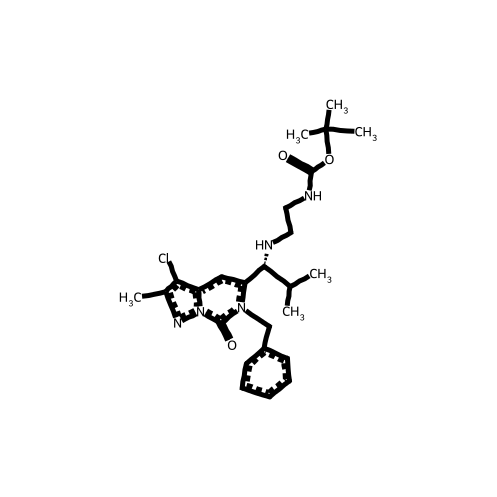 Cc1nn2c(=O)n(Cc3ccccc3)c([C@H](NCCNC(=O)OC(C)(C)C)C(C)C)cc2c1Cl